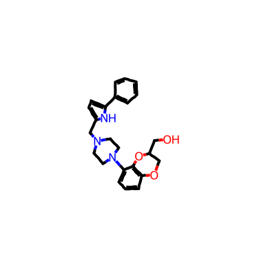 OCC1COc2cccc(N3CCN(Cc4ccc(-c5ccccc5)[nH]4)CC3)c2O1